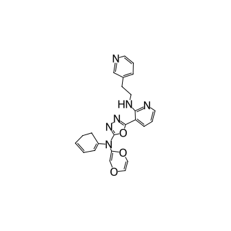 C1=CCCC(N(C2=COC=CO2)c2nnc(-c3cccnc3NCCc3cccnc3)o2)=C1